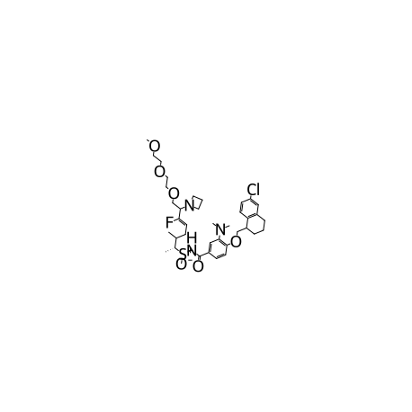 COCCOCCOCC(/C(F)=C/CC(C)[C@@H](C)[S+]([O-])NC(=O)c1ccc(OCC2CCCc3cc(Cl)ccc32)c(N(C)C)c1)N1CCC1